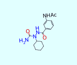 CC(=O)Nc1cccc(C(=O)NN(C(N)=O)C2CCCCC2)c1